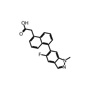 Cn1ncc2cc(F)c(-c3cccc4c(CC(=O)O)cccc34)cc21